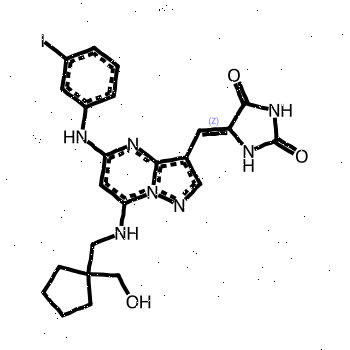 O=C1NC(=O)/C(=C/c2cnn3c(NCC4(CO)CCCC4)cc(Nc4cccc(I)c4)nc23)N1